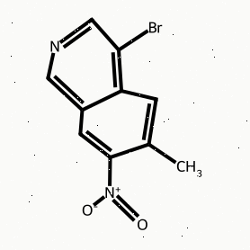 Cc1cc2c(Br)cncc2cc1[N+](=O)[O-]